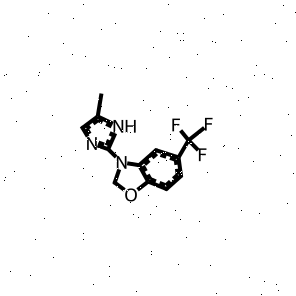 Cc1cnc(N2COc3ccc(C(F)(F)F)cc32)[nH]1